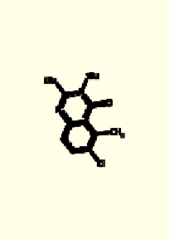 Cc1c(Cl)ccc2nc(C(C)(C)C)n(C(C)(C)C)c(=O)c12